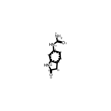 NC(=O)Nc1ccc2c(c1)NC(=O)C2